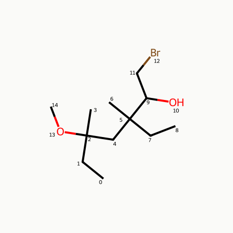 CCC(C)(CC(C)(CC)C(O)CBr)OC